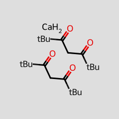 CC(C)(C)C(=O)CC(=O)C(C)(C)C.CC(C)(C)C(=O)CC(=O)C(C)(C)C.[CaH2]